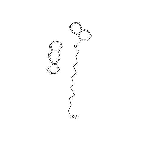 O=C(O)CCCCCCCCCCCCOc1cccc2ccccc12.c1ccc2c3c4c-3cccc4cc2c1